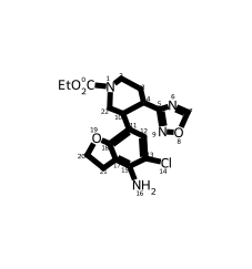 CCOC(=O)N1CCC(c2ncon2)C(c2cc(Cl)c(N)c3c2OCC3)C1